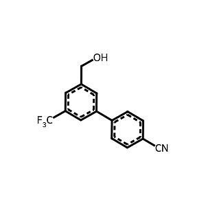 N#Cc1ccc(-c2cc(CO)cc(C(F)(F)F)c2)cc1